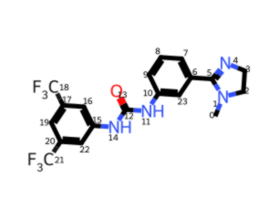 CN1CCN=C1c1cccc(NC(=O)Nc2cc(C(F)(F)F)cc(C(F)(F)F)c2)c1